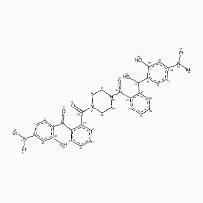 CCN(CC)c1ccc(C(=O)c2ccccc2C(=O)N2CCN(C(=O)c3ccccc3C(O)c3ccc(N(CC)CC)cc3O)CC2)c(O)c1